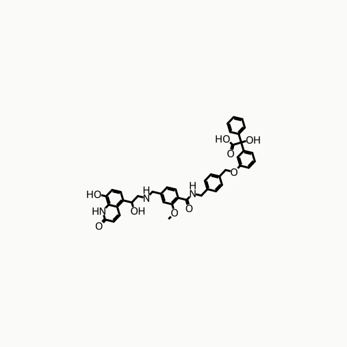 COc1cc(CNCC(O)c2ccc(O)c3[nH]c(=O)ccc23)ccc1C(=O)NCc1ccc(COc2cccc(C(O)(C(=O)O)c3ccccc3)c2)cc1